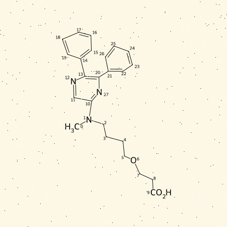 CN(CCCCOCCC(=O)O)c1cnc(-c2ccccc2)c(-c2ccccc2)n1